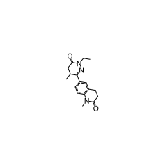 CCN1N=C(c2ccc3c(c2)CCC(=O)N3C)C(C)CC1=O